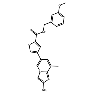 COc1cccc(CNC(=O)c2cc(-c3cc(C)c4nc(N)nn4c3)cs2)c1